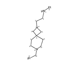 CCNCCN1CC2(CCN(CC(C)C)CC2)C1